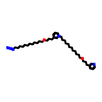 [N-]=[N+]=NCCCCCCCCCCCCOCCCc1ccc[n+](CCCCCCCCCCCCOCCCc2cccnc2)c1